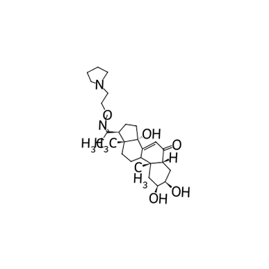 C/C(=N/OCCN1CCCC1)[C@H]1CC[C@@]2(O)C3=CC(=O)[C@@H]4C[C@@H](O)[C@@H](O)C[C@]4(C)C3CC[C@]12C